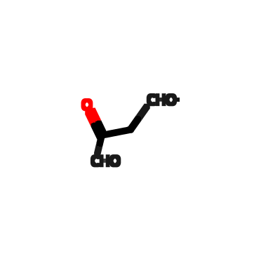 O=[C]CC(=O)C=O